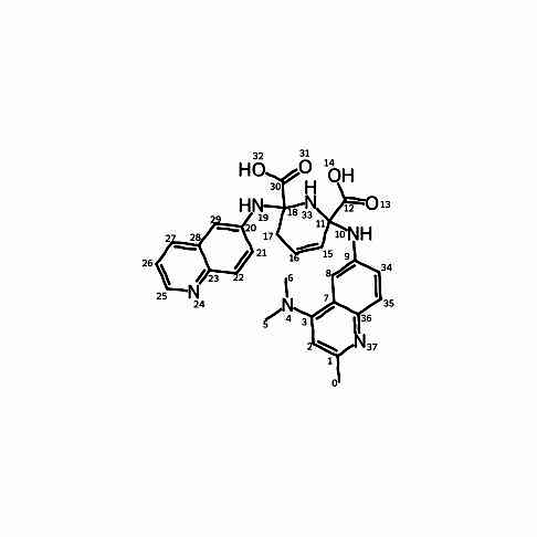 Cc1cc(N(C)C)c2cc(NC3(C(=O)O)C=CCC(Nc4ccc5ncccc5c4)(C(=O)O)N3)ccc2n1